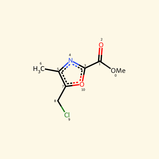 COC(=O)c1nc(C)c(CCl)o1